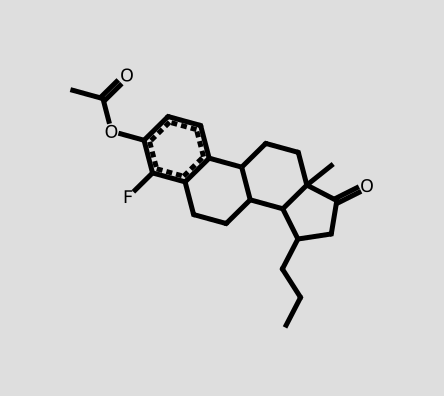 CCCC1CC(=O)C2(C)CCC3c4ccc(OC(C)=O)c(F)c4CCC3C12